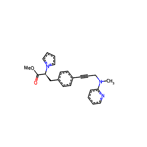 COC(=O)[C@H](Cc1ccc(C#CCN(C)c2ccccn2)cc1)n1cccc1